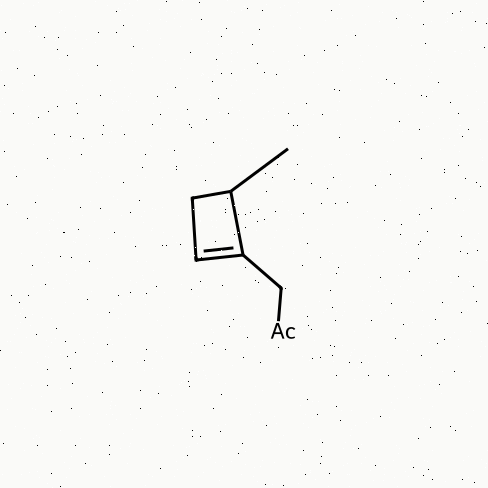 CC(=O)CC1=CCC1C